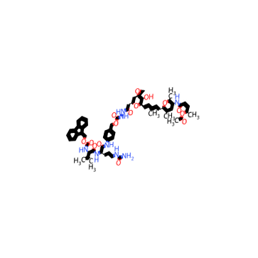 CC(=O)O[C@@H](C)/C=C\C(=O)N[C@@H]1C[C@H](C)[C@H](C/C=C(C)/C=C/[C@H]2O[C@H](CC(=O)NNC(=O)OCc3ccc(NC(=O)[C@H](CCCNC(N)=O)NC(=O)[C@@H](NC(=O)OCC4c5ccccc5-c5ccccc54)C(C)C)cc3)C[C@@]3(CO3)[C@@H]2O)O[C@@H]1C